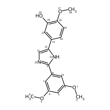 COc1cc(OC)cc(-c2ncc(-c3ccc(OC)c(O)c3)[nH]2)c1